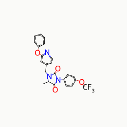 CC1C(=O)N(c2ccc(OC(F)(F)F)cc2)C(=O)N1Cc1ccnc(Oc2ccccc2)c1